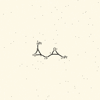 CCCC1OC1SC1OC1CCC